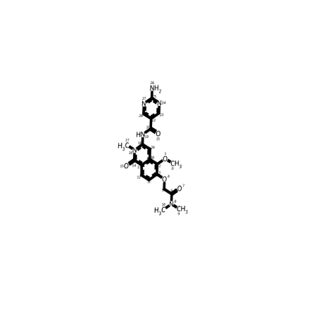 COc1c(OCC(=O)N(C)C)ccc2c(=O)n(C)c(NC(=O)c3cnc(N)nc3)cc12